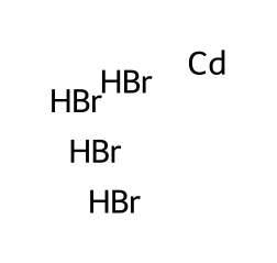 Br.Br.Br.Br.[Cd]